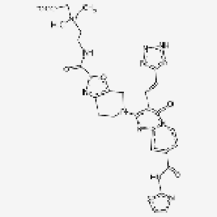 C[N+](C)(CCNC(=O)c1nc2c(o1)CN(c1nc3cc(C(=O)Nc4nccs4)ccn3c(=O)c1C=Cc1nn[nH]n1)CC2)CC(=O)[O-]